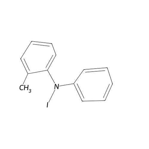 Cc1ccccc1N(I)c1ccccc1